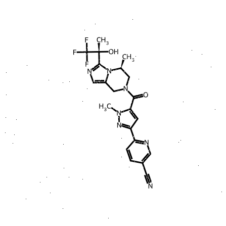 C[C@H]1CN(C(=O)c2cc(-c3ccc(C#N)cn3)nn2C)Cc2cnc([C@@](C)(O)C(F)(F)F)n21